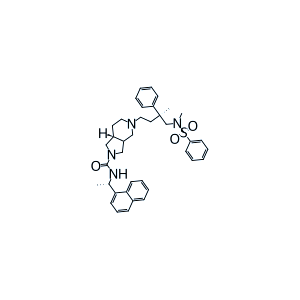 C[C@H](NC(=O)N1CC2CN(CC[C@](C)(CN(C)S(=O)(=O)c3ccccc3)c3ccccc3)CC[C@H]2C1)c1cccc2ccccc12